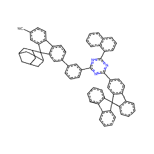 N#Cc1ccc2c(c1)C1(c3cc(-c4cccc(-c5nc(-c6ccc7c(c6)C6(c8ccccc8-c8ccccc86)c6ccccc6-7)nc(-c6cccc7ccccc67)n5)c4)ccc3-2)C2CC3CC(C2)CC1C3